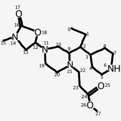 CCC(C1CCNCC1)C1CN(C2CN(C)C(=O)O2)CCN1CCC(=O)OC